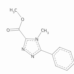 COC(=O)c1nnc(-c2ccccc2)n1C